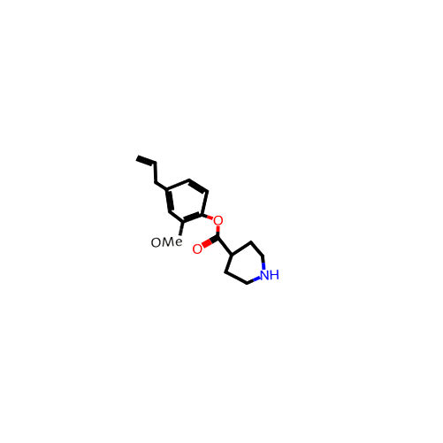 C=CCc1ccc(OC(=O)C2CCNCC2)c(OC)c1